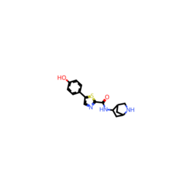 O=C(NC1CC2CC1CN2)c1ncc(-c2ccc(O)cc2)s1